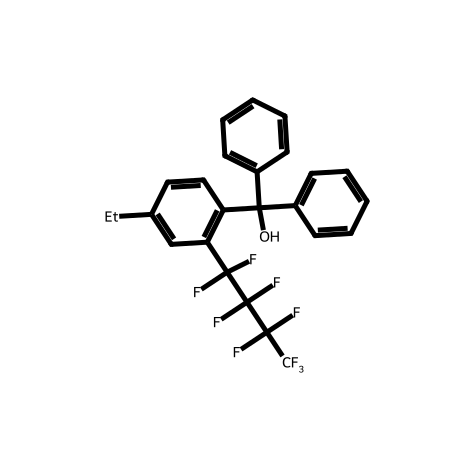 CCc1ccc(C(O)(c2ccccc2)c2ccccc2)c(C(F)(F)C(F)(F)C(F)(F)C(F)(F)F)c1